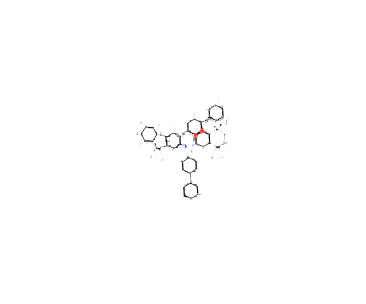 Cc1cc2c(cc1N(c1ccc(-c3ccccc3)cc1)c1cc3c(cc1-c1ccc(-c4ccccc4)cc1)-c1ccccc1C3(C)C)C(C)(C)CCC2(C)C